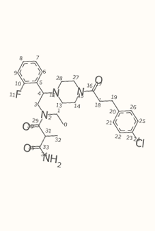 CCN(CC(c1ccccc1F)N1CCN(C(=O)[CH]Cc2ccc(Cl)cc2)CC1)C(=O)C(C)C(N)=O